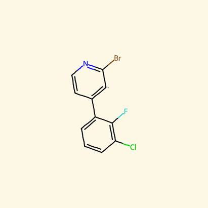 Fc1c(Cl)cccc1-c1[c]c(Br)ncc1